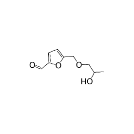 CC(O)COCc1ccc(C=O)o1